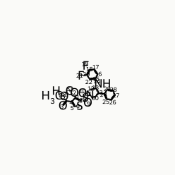 COC(=O)c1csc(S(=O)(=O)N2CC(Nc3ccc(F)c(F)c3)C(c3ccccc3)C2)c1OC